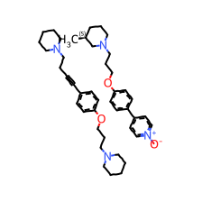 C(#Cc1ccc(OCCCN2CCCCC2)cc1)CCN1CCCCC1.C[C@H]1CCCN(CCCOc2ccc(-c3cc[n+]([O-])cc3)cc2)C1